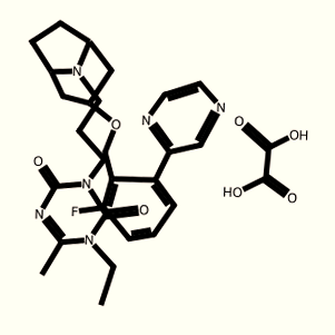 CCn1c(C)nc(=O)n(CCCN2C3CCC2CC(OCc2c(F)cccc2-c2cnccn2)C3)c1=O.O=C(O)C(=O)O